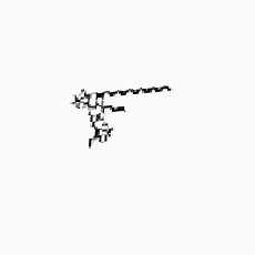 CCCCCCCCCCCCCC[C@H]1OC(C)(C)O[C@H]1[C@H](COCC1OC(C)(C)O[C@H]1CC)NC(=O)CCCC